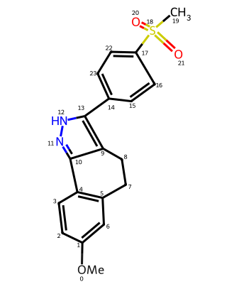 COc1ccc2c(c1)CCc1c-2n[nH]c1-c1ccc(S(C)(=O)=O)cc1